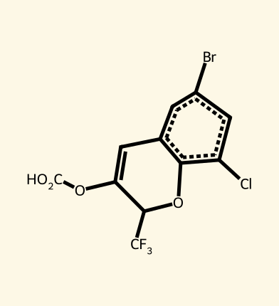 O=C(O)OC1=Cc2cc(Br)cc(Cl)c2OC1C(F)(F)F